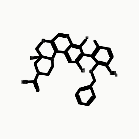 Cc1ccc(N)c(OCc2ccccc2)c1-c1c(Cl)cc2c3c(cnc2c1F)OC[C@H]1CN(C(=O)O)CCN31